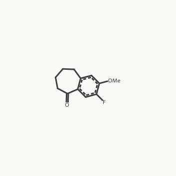 COc1cc2c(cc1F)C(=O)CCCC2